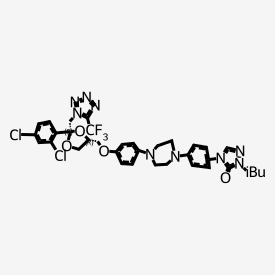 CCC(C)n1ncn(-c2ccc(N3CCN(c4ccc(OC[C@@H]5CO[C@@](Cn6nnnc6C(F)(F)F)(c6ccc(Cl)cc6Cl)O5)cc4)CC3)cc2)c1=O